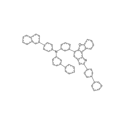 c1ccc(-c2ccc(-c3nc4c(cc(-c5cccc(N(c6ccc(-c7ccc8ccccc8c7)cc6)c6cccc(-c7ccccc7)c6)c5)c5oc6ccccc6c54)s3)cc2)cc1